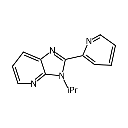 CC(C)n1c(-c2ccccn2)nc2cccnc21